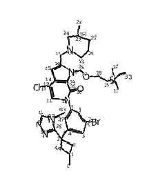 CC1CC(c2cc(Br)cc(-n3cc(Cl)c4cc(CN5CCC[C@H](C)C5)n(COCC[Si](C)(C)C)c4c3=O)c2)(c2nncn2C)C1